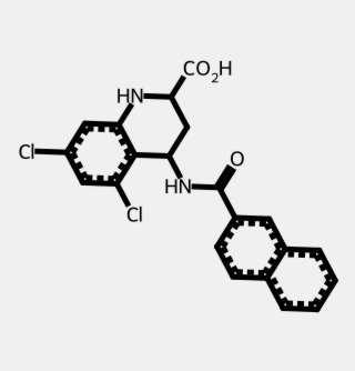 O=C(NC1CC(C(=O)O)Nc2cc(Cl)cc(Cl)c21)c1ccc2ccccc2c1